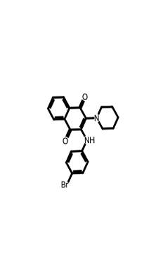 O=C1C(Nc2ccc(Br)cc2)=C(N2CCCCC2)C(=O)c2ccccc21